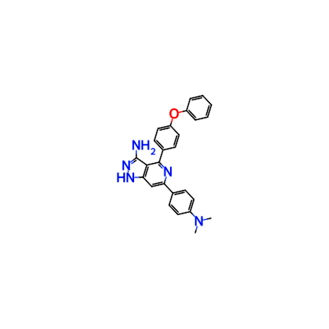 CN(C)c1ccc(-c2cc3[nH]nc(N)c3c(-c3ccc(Oc4ccccc4)cc3)n2)cc1